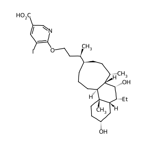 CC[C@H]1[C@@H](O)[C@H]2[C@@H](C)CC[C@H]([C@H](C)CCOc3ncc(C(=O)O)cc3I)CCC[C@@H]2[C@@]2(C)CC[C@@H](O)C[C@@H]12